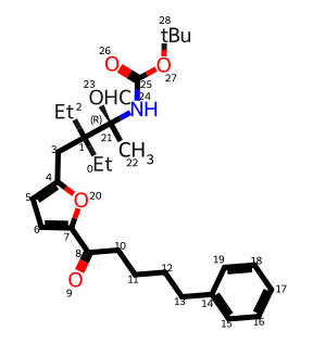 CCC(CC)(Cc1ccc(C(=O)CCCCc2ccccc2)o1)[C@](C)(C=O)NC(=O)OC(C)(C)C